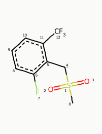 CS(=O)(=O)[CH]c1c(F)cccc1C(F)(F)F